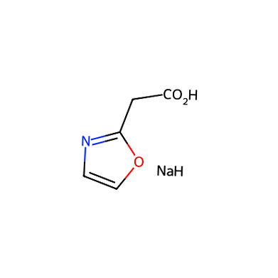 O=C(O)Cc1ncco1.[NaH]